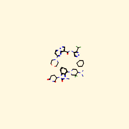 CN(C[C@H]1CC[C@H](n2cc(NC(=O)c3cnn4ccc(N5CCO[C@H](C(F)(F)F)C5)nc34)c(C(F)F)n2)CC1)C1CCN(c2cccc3c2n(C)c(=O)n3C2CCC(=O)NC2=O)CC1(F)F